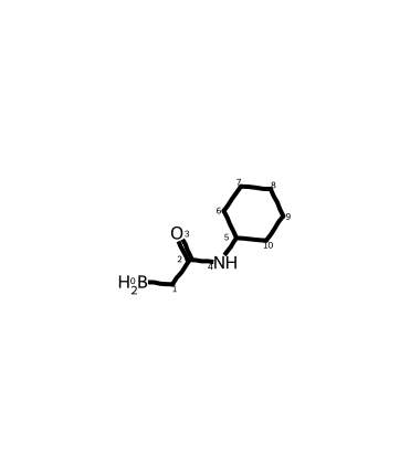 BCC(=O)NC1CCCCC1